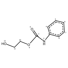 O=C(Nc1ccccc1)OCCO